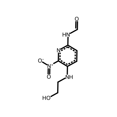 O=CNc1ccc(NCCO)c([N+](=O)[O-])n1